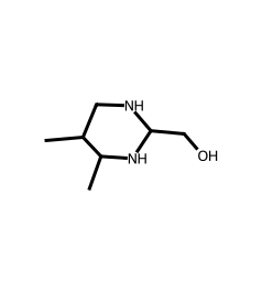 CC1CNC(CO)NC1C